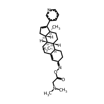 CN(C)CC(=O)ON=C1C=C2CC[C@H]3[C@H](CC[C@]4(C)C(c5cccnc5)=CC[C@@H]34)[C@@]2(C)CC1